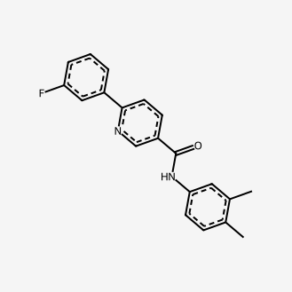 Cc1ccc(NC(=O)c2ccc(-c3cccc(F)c3)nc2)cc1C